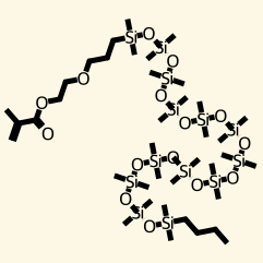 C=C(C)C(=O)OCCOCCC[Si](C)(C)O[Si](C)(C)O[Si](C)(C)O[Si](C)(C)O[Si](C)(C)O[Si](C)(C)O[Si](C)(C)O[Si](C)(C)O[Si](C)(C)O[Si](C)(C)O[Si](C)(C)O[Si](C)(C)O[Si](C)(C)CCCC